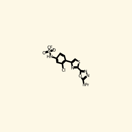 CCCc1nnc(-c2nc(-c3ccc(NS(=O)(=O)C(F)(F)F)cc3Cl)cs2)o1